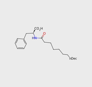 CCCCCCCCCCCCCCCCC(=O)N[C@@H](Cc1ccccc1)C(=O)O